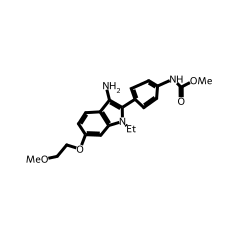 CCn1c(-c2ccc(NC(=O)OC)cc2)c(N)c2ccc(OCCOC)cc21